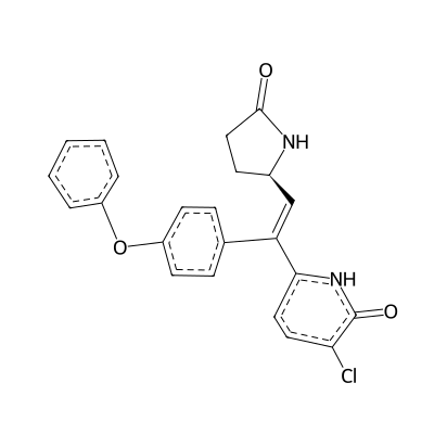 O=C1CC[C@H](/C=C(\c2ccc(Oc3ccccc3)cc2)c2ccc(Cl)c(=O)[nH]2)N1